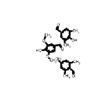 COc1cc(C=O)cc(OC)c1O.Cc1cc(C=O)cc(C)c1O.Cc1cc(O)cc(C)c1C=O